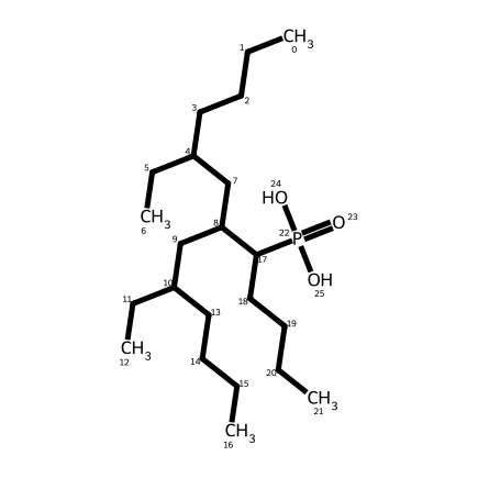 CCCCC(CC)CC(CC(CC)CCCC)C(CCCC)P(=O)(O)O